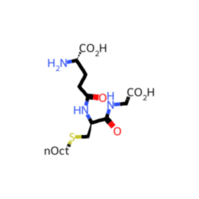 CCCCCCCCSC[C@@H](NC(=O)CC[C@H](N)C(=O)O)C(=O)NCC(=O)O